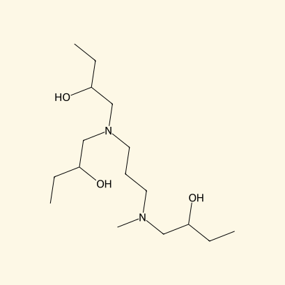 CCC(O)CN(C)CCCN(CC(O)CC)CC(O)CC